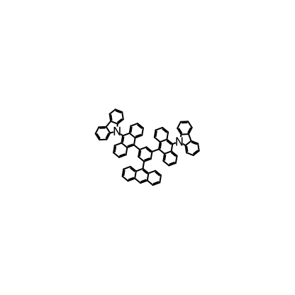 c1ccc2c(-c3cc(-c4c5ccccc5c(-n5c6ccccc6c6ccccc65)c5ccccc45)cc(-c4c5ccccc5c(-n5c6ccccc6c6ccccc65)c5ccccc45)c3)c3ccccc3cc2c1